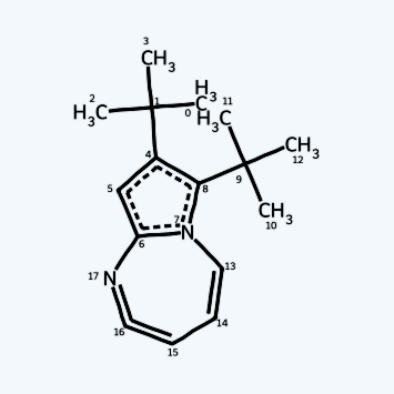 CC(C)(C)c1cc2n(c1C(C)(C)C)C=CC=C=N2